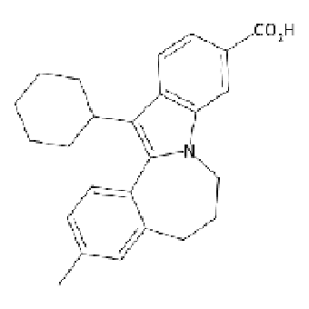 Cc1ccc2c(c1)CCCn1c-2c(C2CCCCC2)c2ccc(C(=O)O)cc21